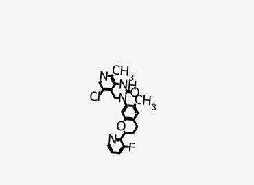 Cc1cc2c(cc1N1Cc3c(Cl)cnc(C)c3NC1=O)OC(c1ncccc1F)CC2